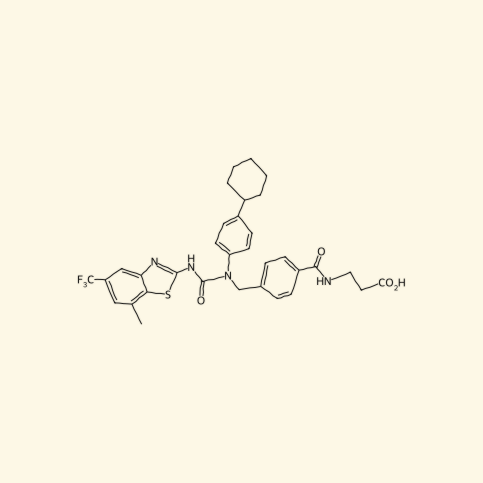 Cc1cc(C(F)(F)F)cc2nc(NC(=O)N(Cc3ccc(C(=O)NCCC(=O)O)cc3)c3ccc(C4CCCCC4)cc3)sc12